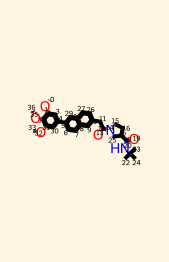 COc1cc(-c2ccc3cc(CC(=O)N4CCC(C(=O)NC(C)(C)C)C4)ccc3c2)cc(OC)c1OC